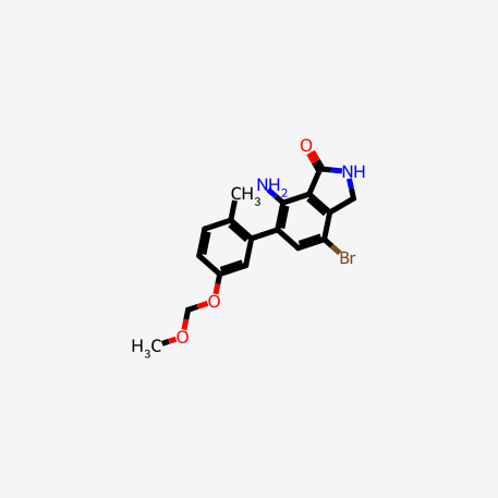 COCOc1ccc(C)c(-c2cc(Br)c3c(c2N)C(=O)NC3)c1